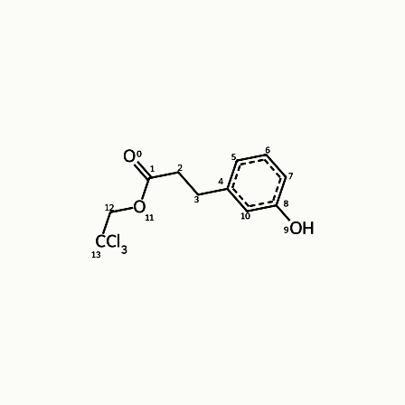 O=C(CCc1cccc(O)c1)OCC(Cl)(Cl)Cl